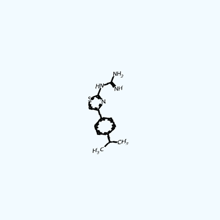 CC(C)c1ccc(-c2csc(NC(=N)N)n2)cc1